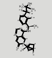 C[C@@H](Nc1ncnc2cc(=O)n([C@H]3CC4(F)CC3C4)cc12)c1cccc(C(F)(F)C(C)(C)O)c1F